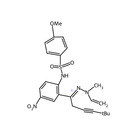 C=CN(C)/N=C(\CC#CC(C)(C)C)c1cc([N+](=O)[O-])ccc1NS(=O)(=O)c1ccc(OC)cc1